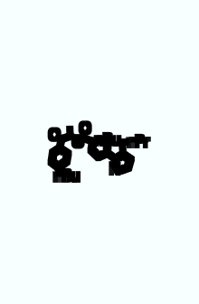 CCCCc1ccc(C(=O)C(C)OC(=O)c2ccc(-c3ncccc3C(CCC)CCCC)cc2)cc1